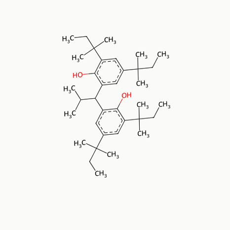 CCC(C)(C)c1cc(C(c2cc(C(C)(C)CC)cc(C(C)(C)CC)c2O)C(C)C)c(O)c(C(C)(C)CC)c1